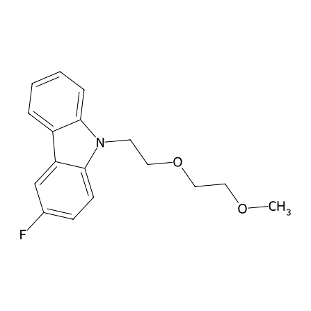 COCCOCCn1c2ccccc2c2cc(F)ccc21